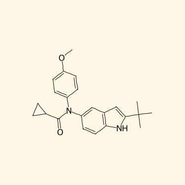 COc1ccc(N(C(=O)C2CC2)c2ccc3[nH]c(C(C)(C)C)cc3c2)cc1